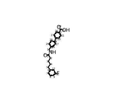 O=C(CCCCc1cccc(F)c1)NCc1ccc(-c2ccc(C(=O)O)cc2)cc1